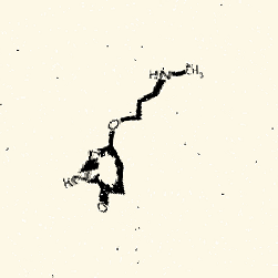 CNCCCOc1ccc(=O)[nH]n1